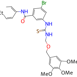 C/C=C(\C=C/CC)NC(=O)c1cc(Br)cc(NC(=S)NCOCc2cc(OC)c(OC)c(OC)c2)c1